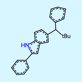 CC(C)(C)C(c1ccccc1)c1ccc2[nH]c(-c3ccccc3)cc2c1